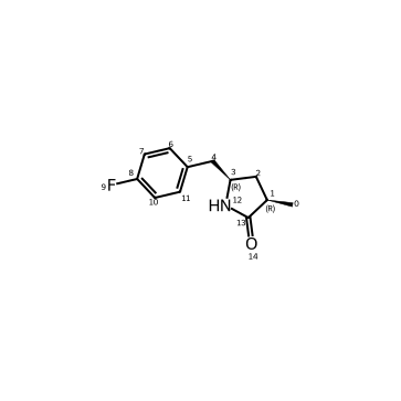 C[C@@H]1C[C@H](Cc2ccc(F)cc2)NC1=O